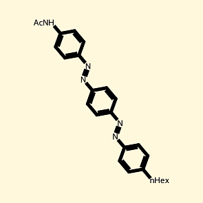 CCCCCCc1ccc(N=Nc2ccc(N=Nc3ccc(NC(C)=O)cc3)cc2)cc1